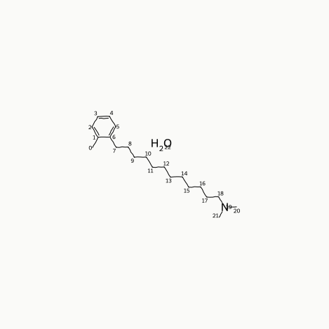 Cc1ccccc1CCCCCCCCCCCCN(C)C.O